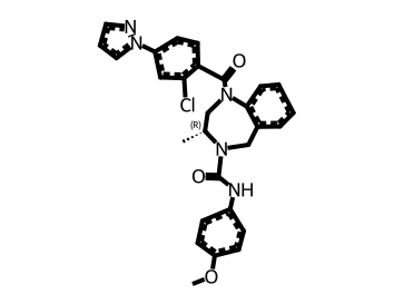 COc1ccc(NC(=O)N2Cc3ccccc3N(C(=O)c3ccc(-n4cccn4)cc3Cl)C[C@H]2C)cc1